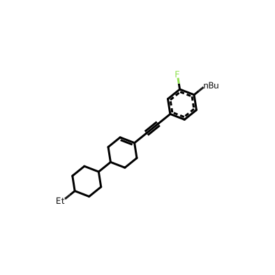 CCCCc1ccc(C#CC2=CCC(C3CCC(CC)CC3)CC2)cc1F